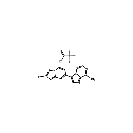 CC(C)c1cc2cc(-c3cnc4c(N)ncnn34)ccn2n1.O=C(O)C(F)(F)F